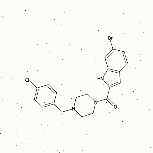 O=C(c1cc2ccc(Br)cc2[nH]1)N1CCN(Cc2ccc(Cl)cc2)CC1